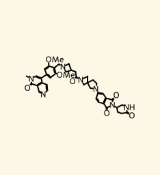 COc1cc(-c2cn(C)c(=O)c3cnccc23)cc(OC)c1CN1CC(CC(=O)N2CC3(CCN(c4ccc5c(c4)C(=O)N(C4CCC(=O)NC4)C5=O)C3)C2)C1